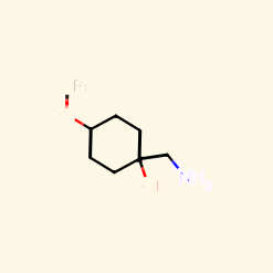 CCCCOC1CCC(O)(CN)CC1